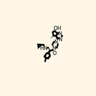 Cc1ccc([C@@H](CNCC2CC2)C(=O)N2CCN(c3ncnc4c3[C@H](C)C[C@@H]4O)CC2)cc1